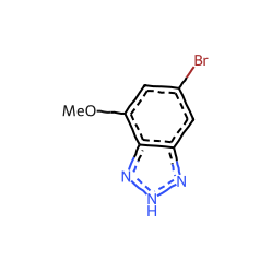 COc1cc(Br)cc2n[nH]nc12